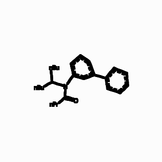 CCCCC(CCCC)N(C(=O)CCC)c1cccc(-c2ccccc2)c1